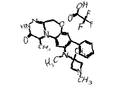 CC1C(=O)NN=C2COc3cc(-c4ccccc4)c(N(C)C4(C)CN(C)C4)cc3N21.O=C(O)C(F)(F)F